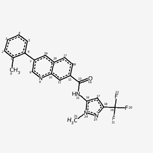 Cc1ccccc1-c1cnc2cc(C(=O)Nc3cc(C(F)(F)F)nn3C)ccc2c1